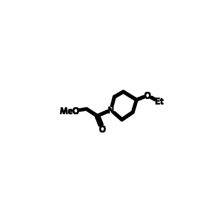 CCOC1CCN(C(=O)COC)CC1